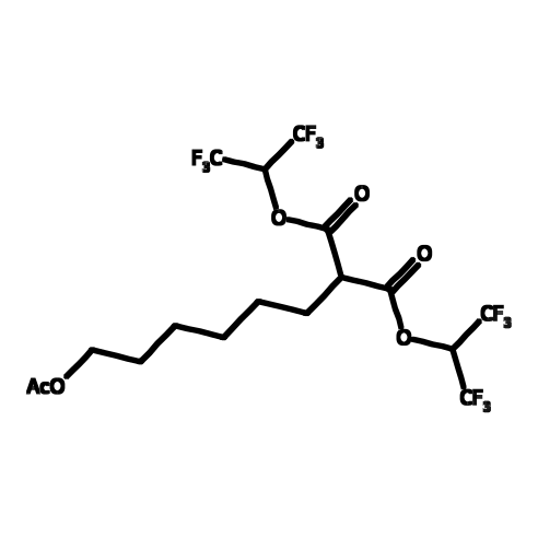 CC(=O)OCCCCCCC(C(=O)OC(C(F)(F)F)C(F)(F)F)C(=O)OC(C(F)(F)F)C(F)(F)F